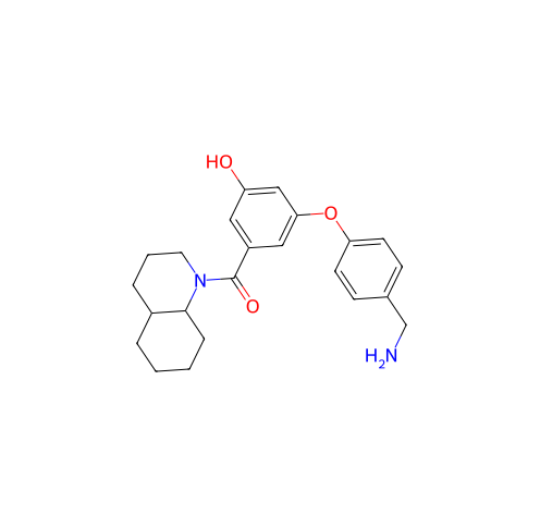 NCc1ccc(Oc2cc(O)cc(C(=O)N3CCCC4CCCCC43)c2)cc1